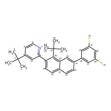 CC(C)(C)c1ccnc(-c2ccc3ccc(-c4cc(F)cc(F)c4)cc3c2C(C)(C)C)c1